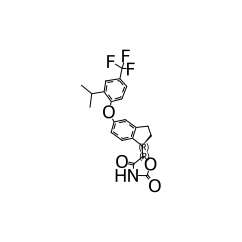 CC(C)c1cc(C(F)(F)F)ccc1Oc1ccc2c(c1)CC[C@H]2[C@H]1OC(=O)NC1=O